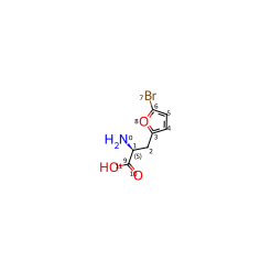 N[C@@H](Cc1ccc(Br)o1)C(=O)O